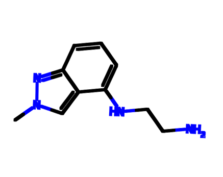 Cn1cc2c(NCCN)cccc2n1